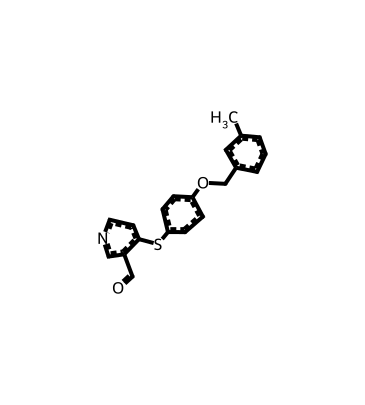 Cc1cccc(COc2ccc(Sc3ccncc3C=O)cc2)c1